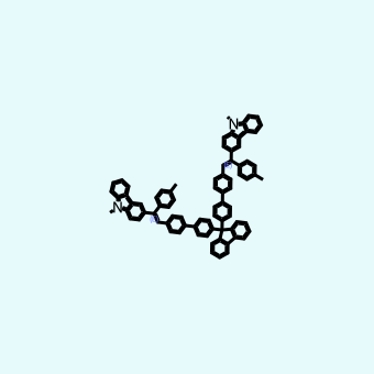 Cc1ccc(/C(=C\c2ccc(-c3ccc(C4(c5ccc(-c6ccc(/C=C(\c7ccc(C)cc7)c7ccc8c(c7)c7ccccc7n8C)cc6)cc5)c5ccccc5-c5ccccc54)cc3)cc2)c2ccc3c(c2)c2ccccc2n3C)cc1